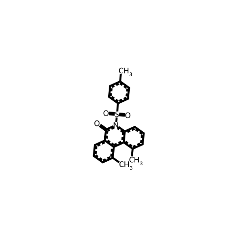 Cc1ccc(S(=O)(=O)n2c(=O)c3cccc(C)c3c3c(C)cccc32)cc1